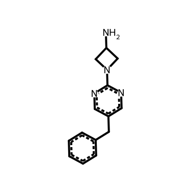 NC1CN(c2ncc(Cc3ccccc3)cn2)C1